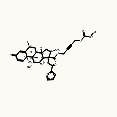 C[C@@H]1C[C@H]2[C@@H]3C[C@H](F)C4=CC(=O)C=C[C@]4(C)[C@@]3(F)[C@@H](O)C[C@]2(C)[C@@]1(OC(=O)c1ccco1)C(=O)SCC#CCOC(=O)NC(C)(C)C